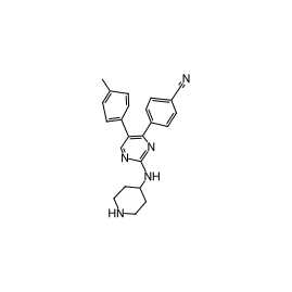 Cc1ccc(-c2cnc(NC3CCNCC3)nc2-c2ccc(C#N)cc2)cc1